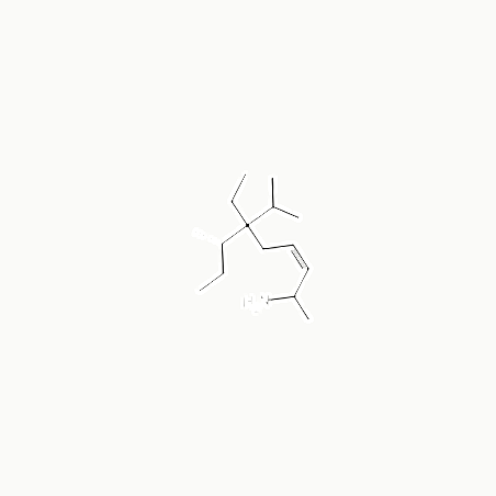 CC[C@H](C)C(CC)(C/C=C\C(C)N)C(C)C